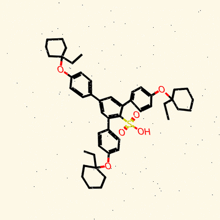 CCC1(Oc2ccc(-c3cc(-c4ccc(OC5(CC)CCCCC5)cc4)c(S(=O)(=O)O)c(-c4ccc(OC5(CC)CCCCC5)cc4)c3)cc2)CCCCC1